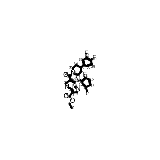 CCOC(=O)c1cnn2c(Nc3cc(C)ccc3F)c(C(=O)N3CCC(c4ccc(F)c(F)c4)CC3)cnc12